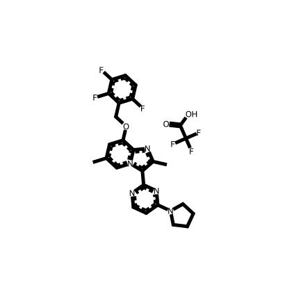 Cc1cc(OCc2c(F)ccc(F)c2F)c2nc(C)c(-c3nccc(N4CCCC4)n3)n2c1.O=C(O)C(F)(F)F